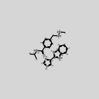 CNNCc1ccc(C(=O)NC(C)C)cc1.c1ccc2[nH]c(-c3cscn3)nc2c1